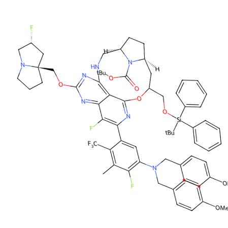 COc1ccc(CN(Cc2ccc(OC)cc2)c2cc(-c3nc4c5c(nc(OC[C@@]67CCCN6C[C@H](F)C7)nc5c3F)NC[C@H]3CC[C@@H](CC(CO[Si](c5ccccc5)(c5ccccc5)C(C)(C)C)O4)N3C(=O)OC(C)(C)C)c(C(F)(F)F)c(C)c2F)cc1